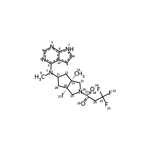 CN(c1ncnc2[nH]ccc12)C1C[C@@]2(C)CN(S(=O)(=O)CC(F)(F)F)C[C@@]2(I)C1